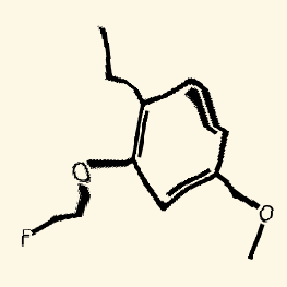 CCc1ccc(OC)cc1OCF